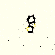 c1ccc2sc3c#csc3c2c#1